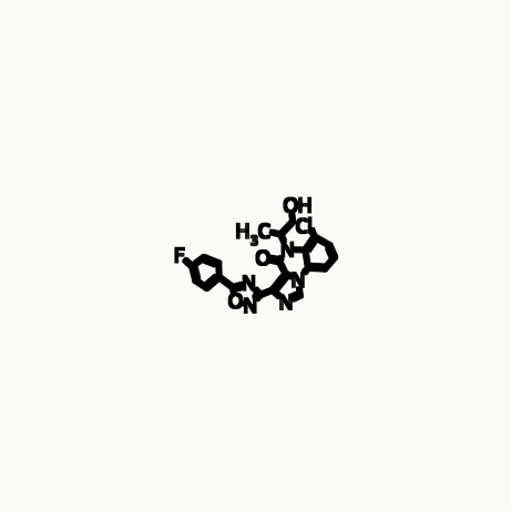 CC(CO)n1c(=O)c2c(-c3noc(-c4ccc(F)cc4)n3)ncn2c2cccc(Cl)c21